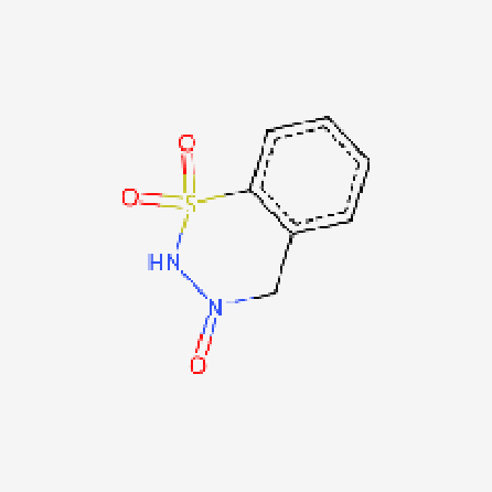 O=[N+]1Cc2ccccc2S(=O)(=O)N1